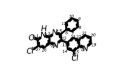 O=c1[nH]c2nc(-c3ccccc3)c(-c3cc(Cl)c4ncccc4c3)nc2cc1Cl